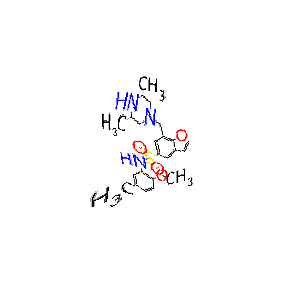 COc1ccc(C)cc1NS(=O)(=O)c1cc(CN2C[C@@H](C)N[C@@H](C)C2)c2occc2c1